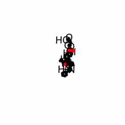 C=C(C)[C@@H]1CC[C@]2(C(=O)N3CCC[C@@H]3c3ncc(-c4ccccc4)[nH]3)CC[C@]3(C)[C@H](CC[C@@H]4[C@@]5(C)CC[C@H](OC(=O)CC(C)(C)C(=O)O)C(C)(C)[C@@H]5CC[C@]43C)[C@@H]12